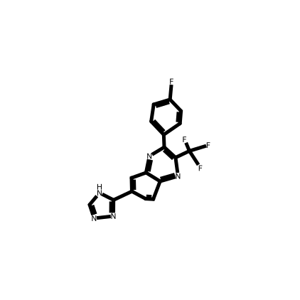 Fc1ccc(-c2nc3cc(-c4nnc[nH]4)ccc3nc2C(F)(F)F)cc1